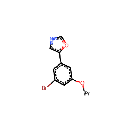 CC(C)Oc1cc(Br)cc(-c2cnco2)c1